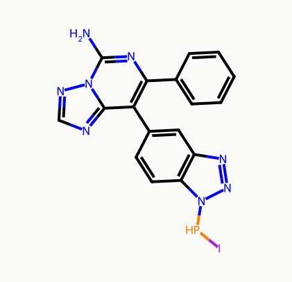 Nc1nc(-c2ccccc2)c(-c2ccc3c(c2)nnn3PI)c2ncnn12